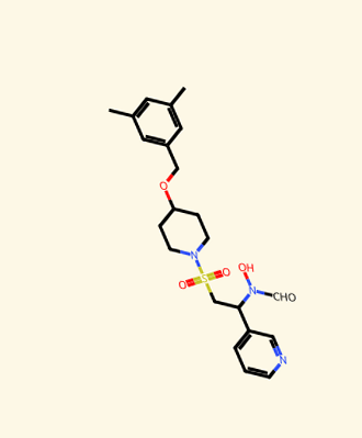 Cc1cc(C)cc(COC2CCN(S(=O)(=O)CC(c3cccnc3)N(O)C=O)CC2)c1